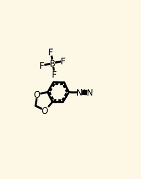 F[B-](F)(F)F.N#[N+]c1ccc2c(c1)OCO2